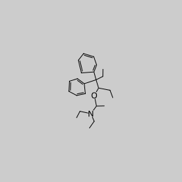 CCC(OC(C)N(CC)CC)C(CC)(c1ccccc1)c1ccccc1